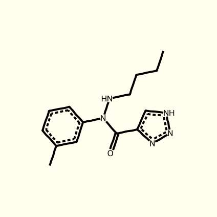 CCCCNN(C(=O)c1c[nH]nn1)c1cccc(C)c1